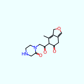 CC1=C2COC=C2CC(=O)C1C(=O)CN1CCNCC1=O